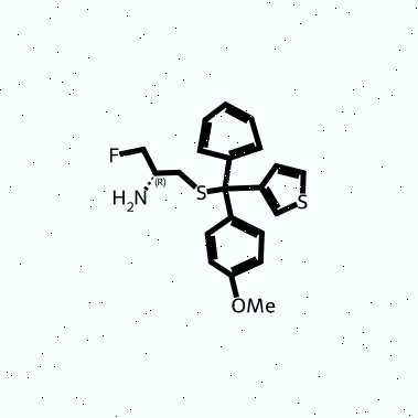 COc1ccc(C(SC[C@H](N)CF)(c2ccccc2)c2ccsc2)cc1